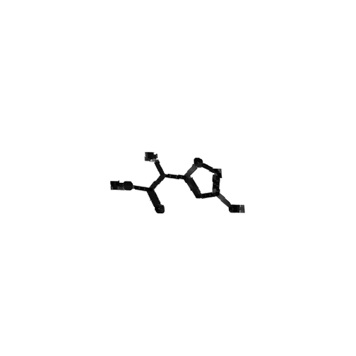 COC(=O)C(c1cc(O)no1)C(C)C